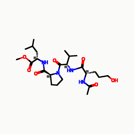 COC(=O)[C@H](CC(C)C)NC(=O)[C@@H]1CCCN1C(=O)[C@@H](NC(=O)[C@H](CCCO)NC(C)=O)C(C)C